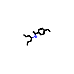 C=C(NC(CCC)CCC)c1ccc(CC)cc1